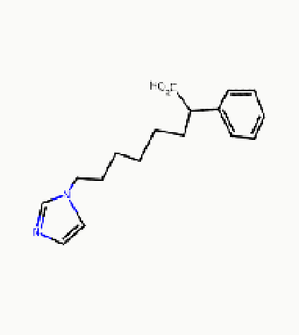 O=C(O)C(CCCCCCn1ccnc1)c1ccccc1